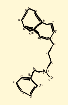 CC(C)N(CCCc1ccc2ccccc2c1)Cc1ccccc1